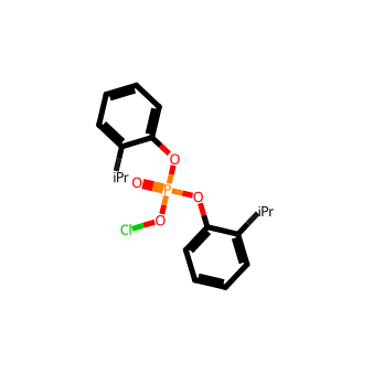 CC(C)c1ccccc1OP(=O)(OCl)Oc1ccccc1C(C)C